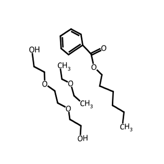 CCCCCCOC(=O)c1ccccc1.CCOCC.OCCOCCOCCO